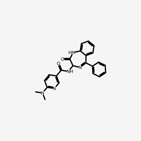 CN(C)c1ccc(C(=O)NC2N=C(c3ccccc3)c3ccccc3NC2=O)cn1